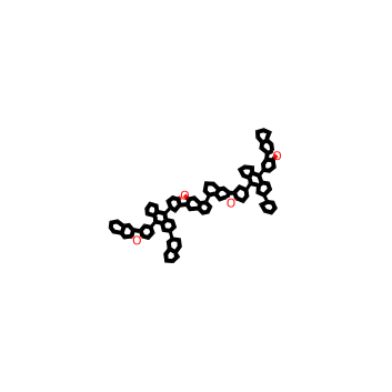 c1ccc(-c2ccc3c(-c4ccc5oc6cc7ccccc7cc6c5c4)c4ccccc4c(-c4ccc5oc6cc7c(-c8cccc9cc%10c(cc89)oc8ccc(-c9c%11ccccc%11c(-c%11ccc%12oc%13cc%14ccccc%14cc%13c%12c%11)c%11cc(-c%12ccc%13ccccc%13c%12)ccc9%11)cc8%10)cccc7cc6c5c4)c3c2)cc1